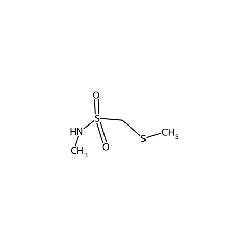 CNS(=O)(=O)CSC